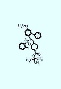 COc1ccc(N(CC2CCN(C(=O)OC(C)(C)C)CC2)S(=O)(=O)c2ccccc2F)c(-c2ccccc2)c1